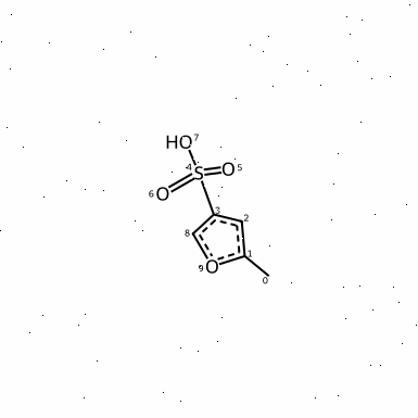 Cc1cc(S(=O)(=O)O)co1